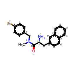 CN(Cc1ccc(Br)cc1)C(=O)[C@@H](N)Cc1ccc2ccccc2c1